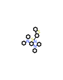 c1ccc(N(c2ccccc2)c2ccc(N(c3ccccc3)c3ccccc3)c3sc(-c4ccc5sc6ccccc6c5c4)nc23)cc1